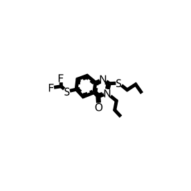 CCCSc1nc2ccc(SC(F)F)cc2c(=O)n1CCC